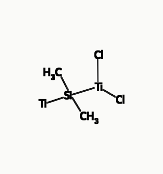 C[Si](C)([Ti])[Ti]([Cl])[Cl]